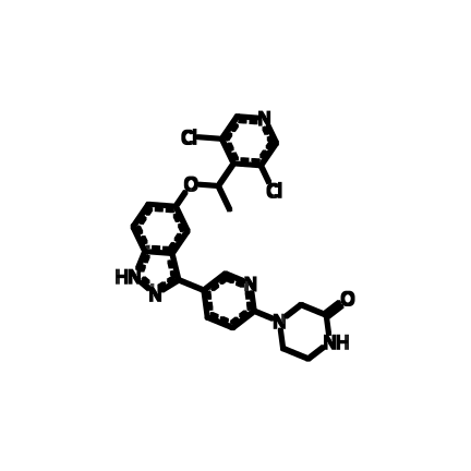 CC(Oc1ccc2[nH]nc(-c3ccc(N4CCNC(=O)C4)nc3)c2c1)c1c(Cl)cncc1Cl